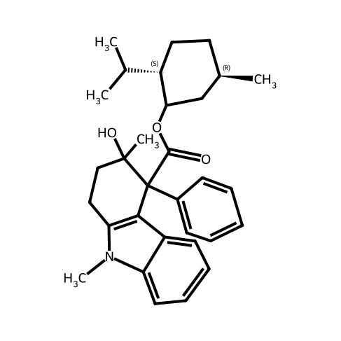 CC(C)[C@@H]1CC[C@@H](C)CC1OC(=O)C1(c2ccccc2)c2c(n(C)c3ccccc23)CCC1(C)O